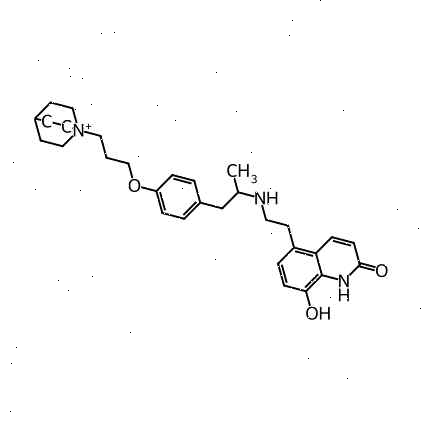 CC(Cc1ccc(OCCC[N+]23CCC(CC2)CC3)cc1)NCCc1ccc(O)c2[nH]c(=O)ccc12